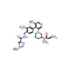 C=CC(=O)N(C)C1CCCN(c2cncc(C#N)c2-c2ccc(CNC(=O)c3cn(C(C)(C)C)nn3)c(C)c2F)C1